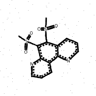 CS(=O)(=O)c1c(S(C)(=O)=O)c2ncccc2c2ncccc12